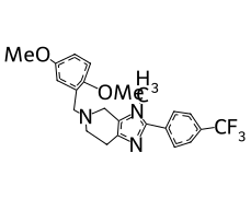 COc1ccc(OC)c(CN2CCc3nc(-c4ccc(C(F)(F)F)cc4)n(C)c3C2)c1